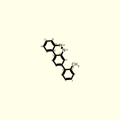 Cc1ccccc1-c1ccc2c(c1)nnc1ccccc12